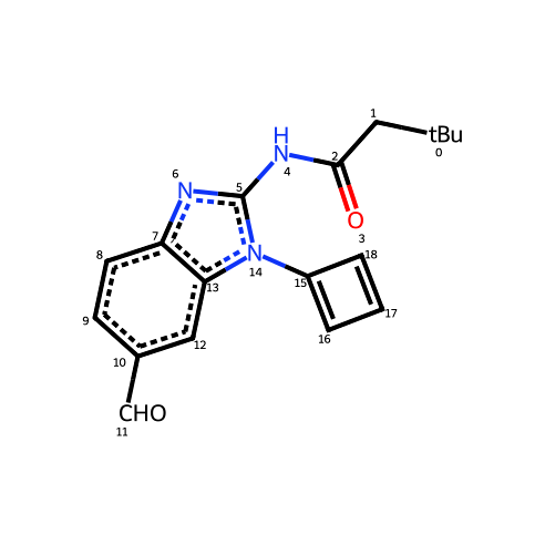 CC(C)(C)CC(=O)Nc1nc2ccc(C=O)cc2n1C1=CC=C1